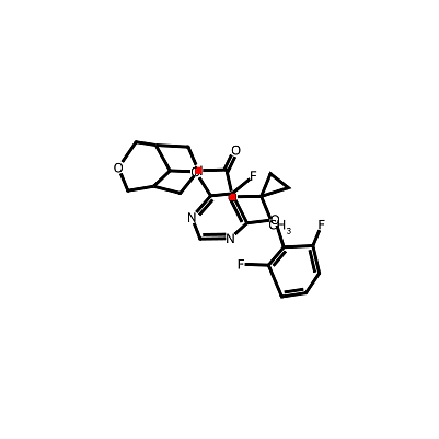 CC1(OC(=O)N2CC3COCC(C2)C3Oc2ncnc(Oc3c(F)cccc3F)c2F)CC1